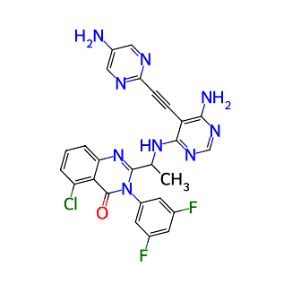 CC(Nc1ncnc(N)c1C#Cc1ncc(N)cn1)c1nc2cccc(Cl)c2c(=O)n1-c1cc(F)cc(F)c1